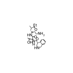 CCC(=O)C(C)C[C@H](CCN)NC(=O)[C@@H](NC(=O)C1CNCc2ccccc21)[C@H](C)O